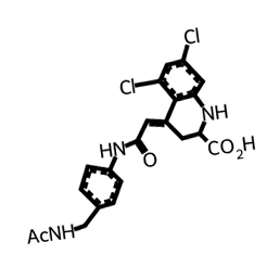 CC(=O)NCc1ccc(NC(=O)C=C2CC(C(=O)O)Nc3cc(Cl)cc(Cl)c32)cc1